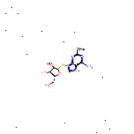 COc1nc(N)c2ncn(S[C@@H]3O[C@H](CO)C(O)C3O)c2n1